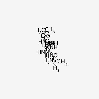 CC[C@H](C)[C@H](N)C(=O)NCC1NC(=N)N2CC(NC(=O)c3cccc4c3OCCC4(C)C)C(O)(O)C23NC(=N)NC13